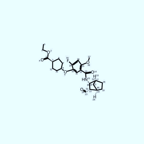 CCOC(=O)[C@H]1CC[C@@H](Oc2cc(C(=O)N[C@@H]3[C@H]4CC[C@H](C4)[C@@H]3C=O)c(OC)cc2F)CC1